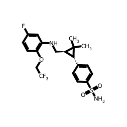 CC1(C)[C@H](CNc2cc(F)ccc2OCC(F)(F)F)[C@H]1c1ccc(S(N)(=O)=O)cc1